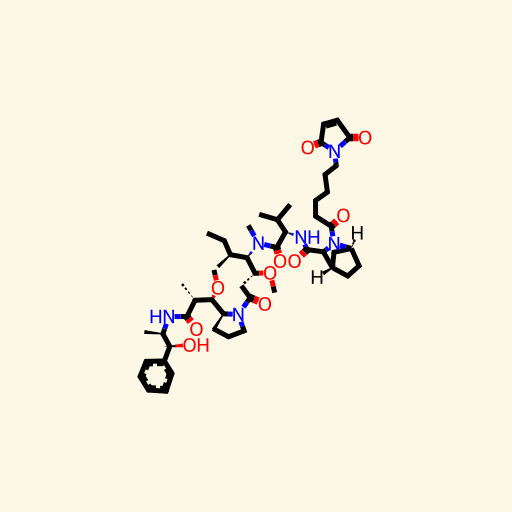 CC[C@H](C)[C@@H]([C@@H](CC(=O)N1CCC[C@H]1[C@H](OC)[C@@H](C)C(=O)N[C@H](C)[C@@H](O)c1ccccc1)OC)N(C)C(=O)[C@@H](NC(=O)C1[C@H]2CC[C@@H](C2)N1C(=O)CCCCCN1C(=O)C=CC1=O)C(C)C